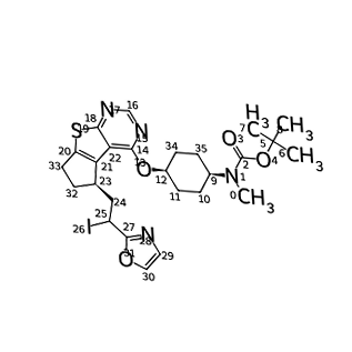 CN(C(=O)OC(C)(C)C)[C@H]1CC[C@@H](Oc2ncnc3sc4c(c23)[C@@H](CC(I)c2ncco2)CC4)CC1